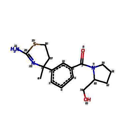 CC1(c2cccc(C(=O)N3CCCC3CO)c2)CCSC(N)=N1